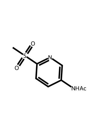 CC(=O)Nc1ccc(S(C)(=O)=O)nc1